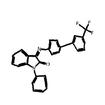 O=C1C(=Nc2ccc(-c3cccc(C(F)(F)F)c3)cc2)c2ccccc2N1c1ccccc1